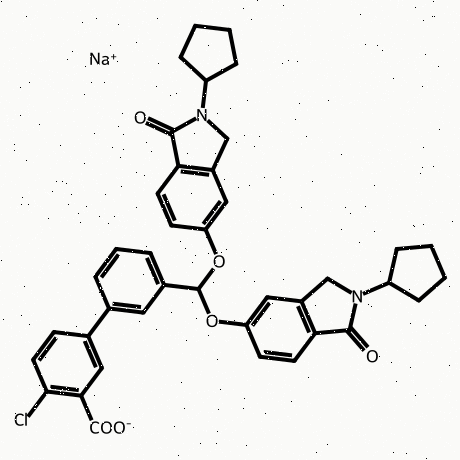 O=C([O-])c1cc(-c2cccc(C(Oc3ccc4c(c3)CN(C3CCCC3)C4=O)Oc3ccc4c(c3)CN(C3CCCC3)C4=O)c2)ccc1Cl.[Na+]